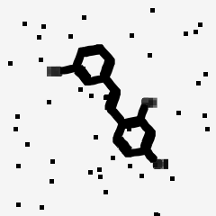 Oc1cccc(C=Cc2ccc(O)cc2O)c1